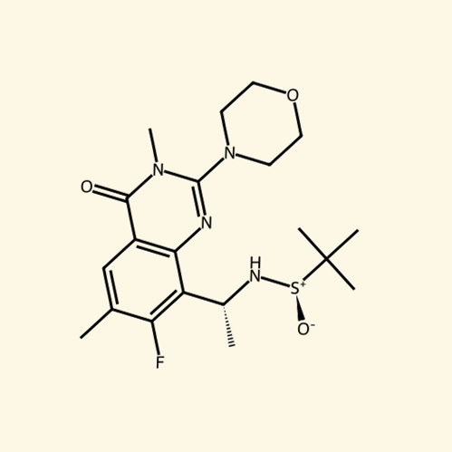 Cc1cc2c(=O)n(C)c(N3CCOCC3)nc2c([C@@H](C)N[S@+]([O-])C(C)(C)C)c1F